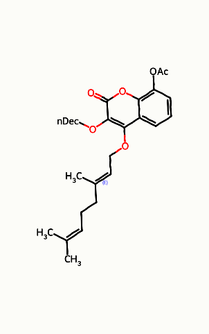 CCCCCCCCCCOc1c(OC/C=C(\C)CCC=C(C)C)c2cccc(OC(C)=O)c2oc1=O